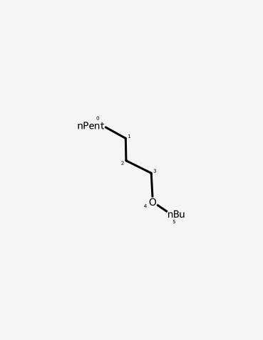 [CH2]CCCCCCCOCCC[CH2]